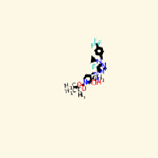 CC(C)(C)OC(=O)N1CC[C@@H](CNc2ncnc(N(Cc3ccc(C(F)(F)F)cc3)C3CC3)c2F)[C@@](C)(O)C1